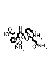 NC(=O)CC[C@H](N)C(=O)N1C(=O)CC[C@H]1C(=O)N[C@@H](CCC(=O)O)C(=O)N1CCC[C@H]1C(N)=O